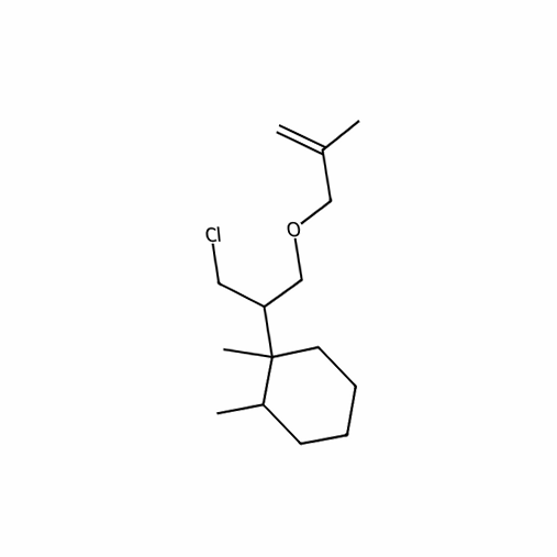 C=C(C)COCC(CCl)C1(C)CCCCC1C